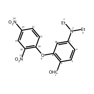 CCN(CC)c1ccc(C=O)c(Oc2ccc([N+](=O)[O-])cc2[N+](=O)[O-])c1